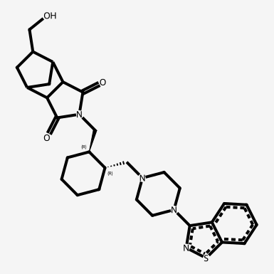 O=C1C2C3CC(CO)C(C3)C2C(=O)N1C[C@@H]1CCCC[C@H]1CN1CCN(c2nsc3ccccc23)CC1